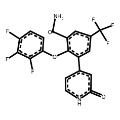 NC(=O)c1cc(C(F)(F)F)cc(-c2cc[nH]c(=O)c2)c1Oc1ccc(F)c(F)c1F